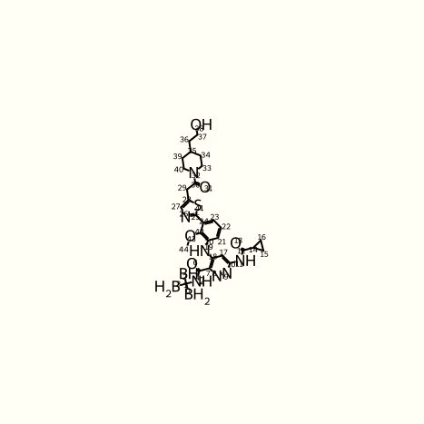 BC(B)(B)NC(=O)c1nnc(NC(=O)C2CC2)cc1Nc1cccc(-c2ncc(CC(=O)N3CCC(CCO)CC3)s2)c1OC